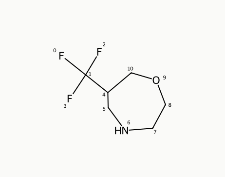 FC(F)(F)C1CNCCOC1